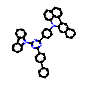 c1ccc(-c2ccc(-c3nc(-c4ccc(N5c6cc7ccccc7cc6-c6cccc7cccc5c67)cc4)nc(-n4c5ccccc5c5ccccc54)n3)cc2)cc1